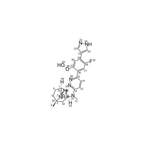 C[C@@H]1N[C@@]2(C)CC[C@H]1C[C@@H](N(C)c1ccc(-c3cc(F)c(-c4cn[nH]c4)cc3OO)nn1)C2